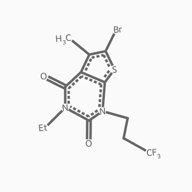 CCn1c(=O)c2c(C)c(Br)sc2n(CCC(F)(F)F)c1=O